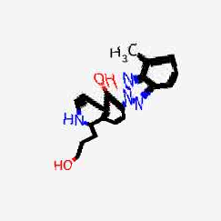 Cc1cccc2nn(-c3ccc4c(c3O)C=CNC4CCCO)nc12